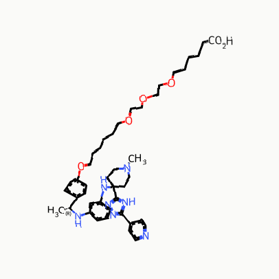 C[C@@H](Nc1cccc(NC2(c3nnc(-c4ccncc4)[nH]3)CCN(C)CC2)c1)c1ccc(OCCCCCCOCCOCCOCCCCCC(=O)O)cc1